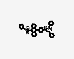 C1=C(c2ccc(-c3c4ccccc4c(-c4nnc(-c5ccccc5)o4)c4ccccc34)cc2)NC(c2ccccc2)N=C1c1ccccc1